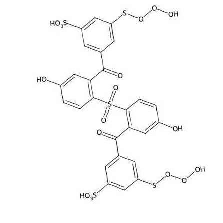 O=C(c1cc(SOOO)cc(S(=O)(=O)O)c1)c1cc(O)ccc1S(=O)(=O)c1ccc(O)cc1C(=O)c1cc(SOOO)cc(S(=O)(=O)O)c1